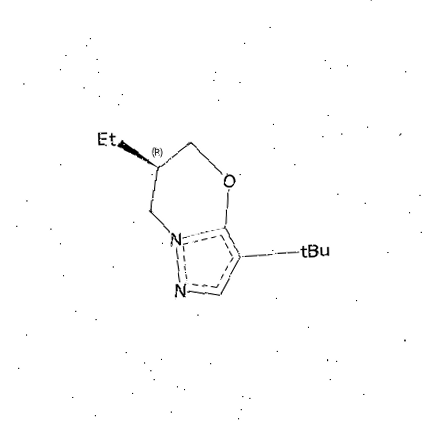 CC[C@H]1COc2c(C(C)(C)C)cnn2C1